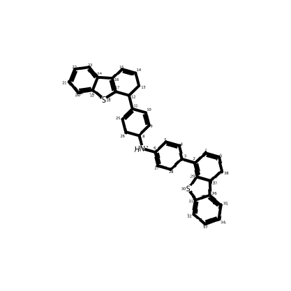 C1=CC(C2C=CC(NC3C=CC(C4CC=Cc5c4sc4ccccc54)=CC3)=CC2)=C2Sc3ccccc3C2C1